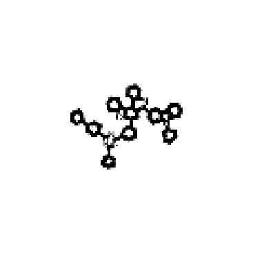 c1ccc(-c2ccc(-c3nc(-c4ccccc4)nc(-c4cccc(-c5cc6c(-c7ccc8c(c7)c7ccccc7n8-c7ccccc7)nc7ccccc7c6c6c5oc5ccccc56)c4)n3)cc2)cc1